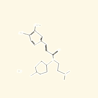 COc1cc(C=CC(=O)N(CCN(C)C)C2CCC(C)CC2)ccc1O.Cl